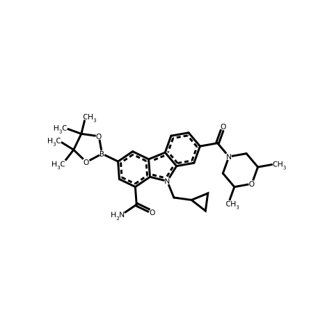 CC1CN(C(=O)c2ccc3c4cc(B5OC(C)(C)C(C)(C)O5)cc(C(N)=O)c4n(CC4CC4)c3c2)CC(C)O1